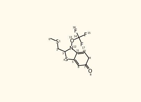 CSCC1SC2=CC(=O)CC=C2N1OC(F)(F)F